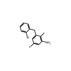 Cc1c(N)cc(F)cc1Cc1ccccc1Br